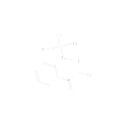 CCSC(=O)c1ccccc1N(C)[Si](C)(C)C